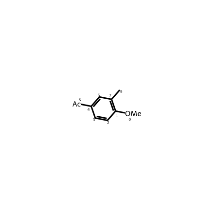 [CH2]Oc1ccc(C(C)=O)cc1C